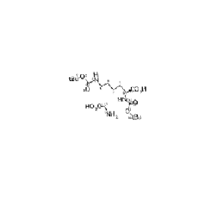 CC(C)(C)OC(=O)NCCCC[C@H](NC(=O)OC(C)(C)C)C(=O)O.NCC(=O)O